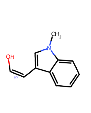 Cn1cc(/C=C\O)c2ccccc21